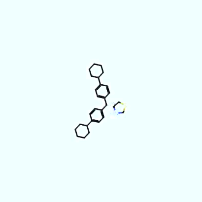 c1cc(C(c2ccc(C3CCCCC3)cc2)[C@@H]2CSCN2)ccc1C1CCCCC1